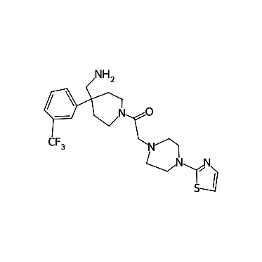 NCC1(c2cccc(C(F)(F)F)c2)CCN(C(=O)CN2CCN(c3nccs3)CC2)CC1